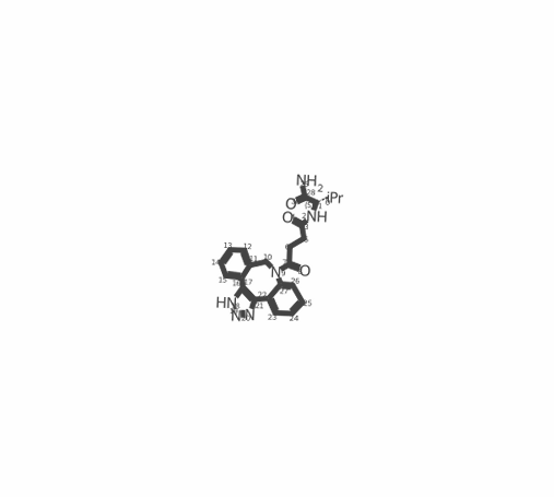 CC(C)[C@H](NC(=O)CCC(=O)N1Cc2ccccc2-c2[nH]nnc2-c2ccccc21)C(N)=O